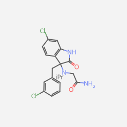 CC(C)N(CC(N)=O)C1(Cc2cccc(Cl)c2)C(=O)Nc2cc(Cl)ccc21